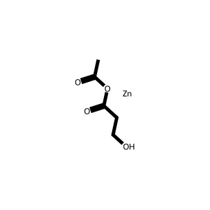 CC(=O)OC(=O)CCO.[Zn]